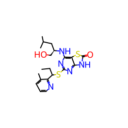 CCC(Sc1nc(N[C@@H](CO)CC(C)C)c2sc(=O)[nH]c2n1)c1ncccc1C